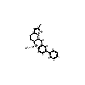 CSNC1CCc2cc(C)nn2C1Cc1cccc(-c2ccccc2)c1